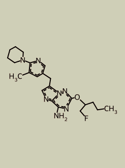 CCCC(CF)Oc1nc(N)c2ncc(Cc3cnc(N4CCCCC4)c(C)c3)n2n1